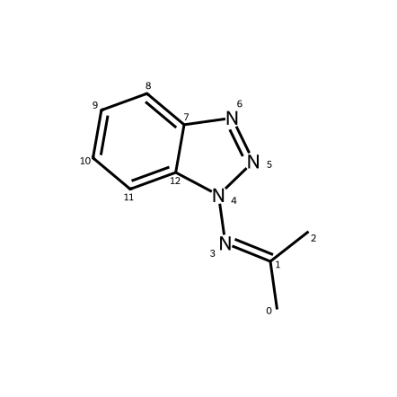 CC(C)=Nn1nnc2ccccc21